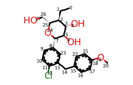 CC[C@H]1[C@H](O)[C@@H](O)[C@H](c2ccc(Cl)c(Cc3ccc(OC)cc3)c2)O[C@@H]1CO